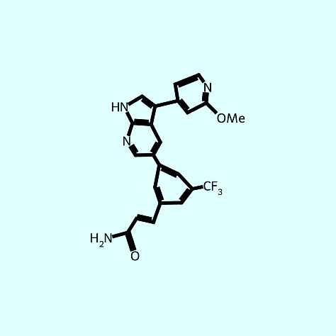 COc1cc(-c2c[nH]c3ncc(-c4cc(C=CC(N)=O)cc(C(F)(F)F)c4)cc23)ccn1